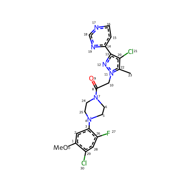 COc1cc(N2CCN(C(=O)Cn3nc(-c4ccncn4)c(Cl)c3C)CC2)c(F)cc1Cl